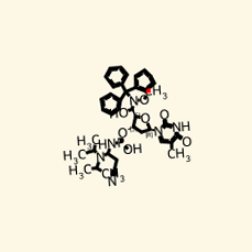 CON(C(O)[C@H]1O[C@@H](n2cc(C)c(=O)[nH]c2=O)C[C@@H]1OP(O)NC(CC#N)N(C(C)C)C(C)C)C(c1ccccc1)(c1ccccc1)c1ccccc1